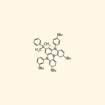 CC(C)(C)c1ccc(N2C3=C(CC(C(C)(C)C)C=C3)B3C4=CCC(C(C)(C)C)C=C4N(c4cccc(C(C)(C)C)c4)c4cc([Si](C)(C)c5ccccc5)cc2c43)cc1